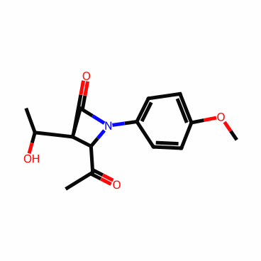 COc1ccc(N2C(=O)C(C(C)O)C2C(C)=O)cc1